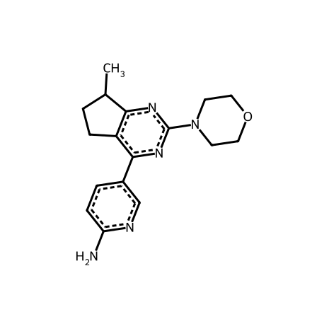 CC1CCc2c(-c3ccc(N)nc3)nc(N3CCOCC3)nc21